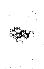 CC(C)(Cc1c(Br)cnc2c(C#N)cnn12)OC(=O)OC(N)=O